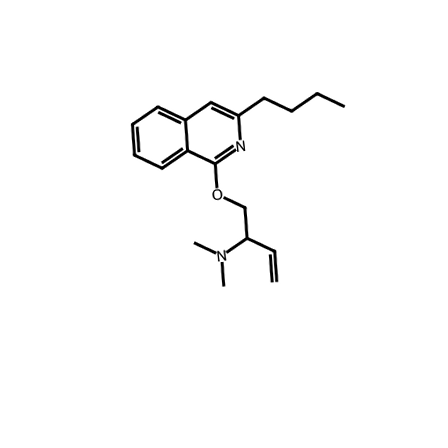 C=CC(COc1nc(CCCC)cc2ccccc12)N(C)C